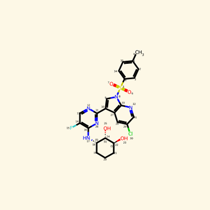 Cc1ccc(S(=O)(=O)n2cc(-c3ncc(F)c(N[C@H]4CCC[C@H](O)[C@H]4O)n3)c3cc(Cl)cnc32)cc1